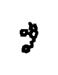 Cc1ccc2c(c1)C(c1ccccc1)CN(C/C=C/c1ccccc1)CC2